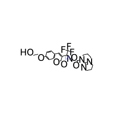 O=C(O/N=C(/c1cc2ccc(OCCO)cc2oc1=O)C(F)(F)F)N1CCCN2CCCN=C21